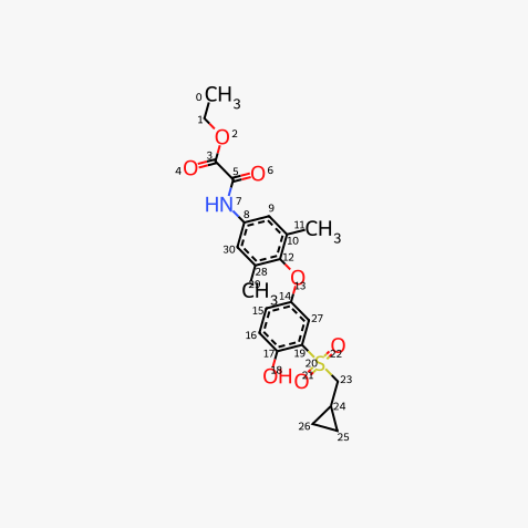 CCOC(=O)C(=O)Nc1cc(C)c(Oc2ccc(O)c(S(=O)(=O)CC3CC3)c2)c(C)c1